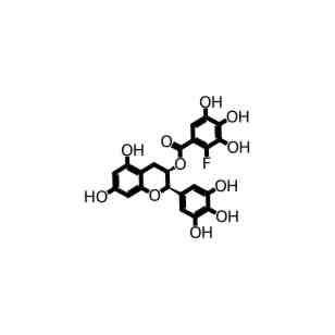 O=C(O[C@@H]1Cc2c(O)cc(O)cc2O[C@@H]1c1cc(O)c(O)c(O)c1)c1cc(O)c(O)c(O)c1F